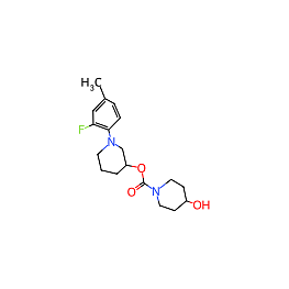 Cc1ccc(N2CCCC(OC(=O)N3CCC(O)CC3)C2)c(F)c1